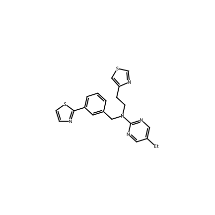 CCc1cnc(N(CCc2cs[c]n2)Cc2cccc(-c3nccs3)c2)nc1